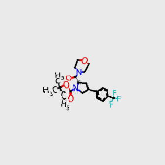 CC(C)(C)OC(=O)N1CC(c2ccc(C(F)(F)F)cc2)C[C@H]1C(=O)N1CCOCC1